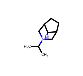 CC(C)N1CC2CCC(C1)C2N